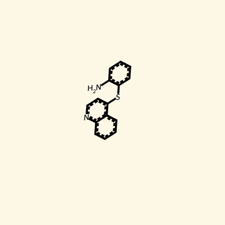 Nc1ccccc1Sc1ccnc2ccccc12